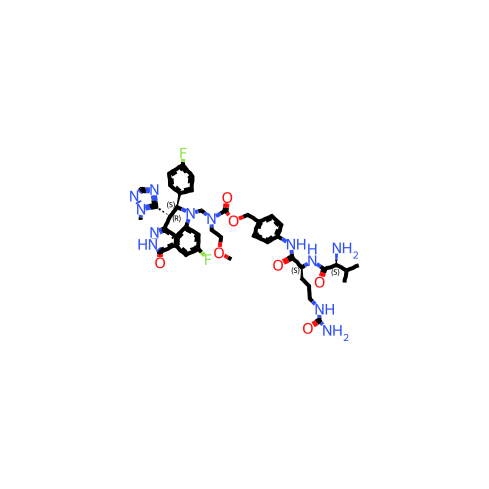 COCCN(CN1c2cc(F)cc3c(=O)[nH]nc(c23)[C@H](c2ncnn2C)[C@H]1c1ccc(F)cc1)C(=O)OCc1ccc(NC(=O)[C@H](CCCNC(N)=O)NC(=O)[C@@H](N)C(C)C)cc1